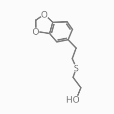 OCCSCCc1ccc2c(c1)OCO2